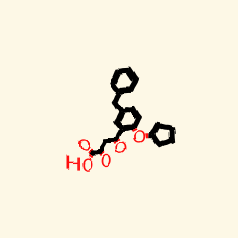 O=C(O)C(=O)CC(=O)c1cc(Cc2ccccc2)ccc1OC1CCCC1